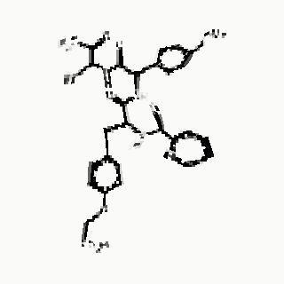 COc1ccc(C(NC(=O)C(Cc2ccc(OCC(=O)O)cc2)NC(=O)c2ccccn2)C(=O)NC(C(=O)C(F)(F)F)C(C)C)cc1